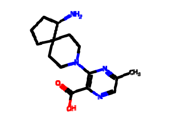 Cc1cnc(C(=O)O)c(N2CCC3(CCC[C@H]3N)CC2)n1